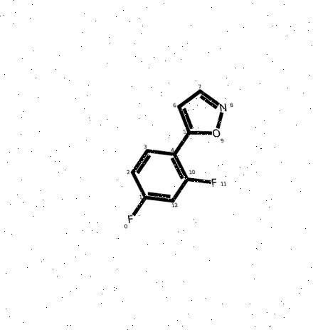 Fc1ccc(-c2c[c]no2)c(F)c1